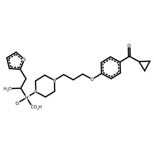 CC(Cc1cccs1)[N+]([O-])(C(=O)O)N1CCN(CCCOc2ccc(C(=O)C3CC3)cc2)CC1